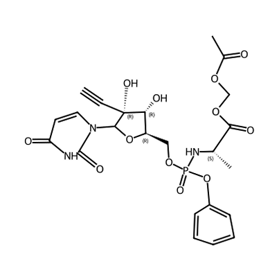 C#C[C@]1(O)C(n2ccc(=O)[nH]c2=O)O[C@H](COP(=O)(N[C@@H](C)C(=O)OCOC(C)=O)Oc2ccccc2)[C@H]1O